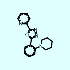 c1ccc(-c2nnc(-c3ccccc3N3CCCCC3)o2)nc1